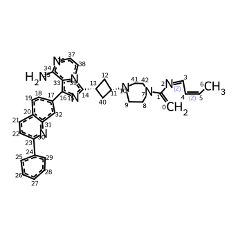 C=C(/N=C\C=C/C)N1CCN([C@H]2C[C@@H](c3nc(-c4ccc5ccc(-c6ccccc6)nc5c4)c4c(N)nccn43)C2)CC1